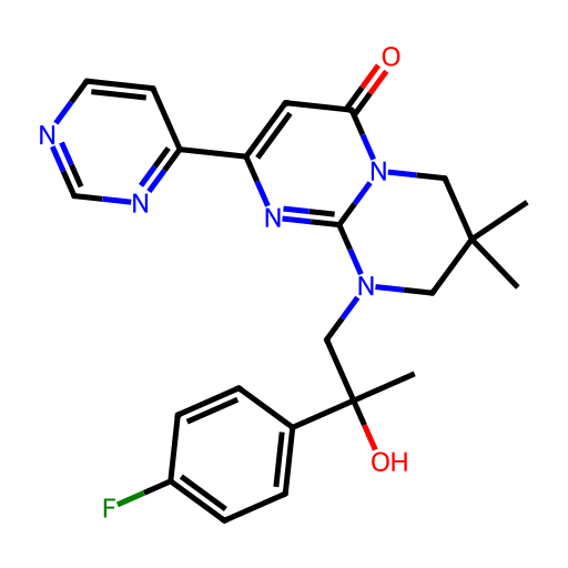 CC1(C)CN(CC(C)(O)c2ccc(F)cc2)c2nc(-c3ccncn3)cc(=O)n2C1